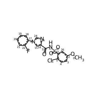 COc1ccc(Cl)c(S(=O)(=O)NC(=O)c2cn(-c3ccccc3F)cn2)c1